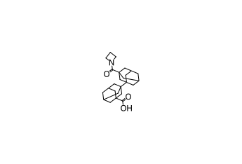 O=C(O)C12CC3CC(C1)CC(C14CC5CC(CC(C(=O)N6CCC6)(C5)C1)C4)(C3)C2